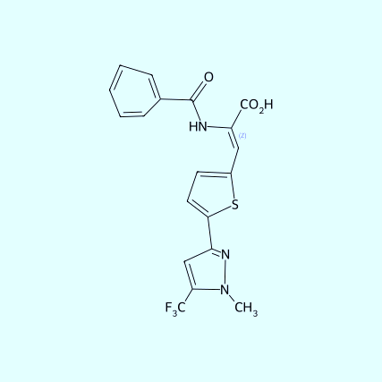 Cn1nc(-c2ccc(/C=C(\NC(=O)c3ccccc3)C(=O)O)s2)cc1C(F)(F)F